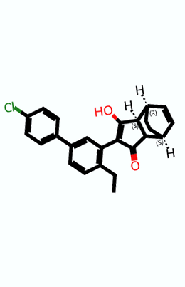 CCc1ccc(-c2ccc(Cl)cc2)cc1C1=C(O)[C@@H]2C(C1=O)[C@@H]1C=C[C@H]2CC1